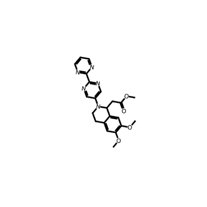 COC(=O)CC1c2cc(OC)c(OC)cc2CCN1c1cnc(-c2ncccn2)nc1